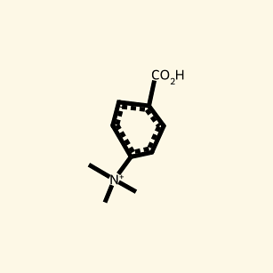 C[N+](C)(C)c1ccc(C(=O)O)cc1